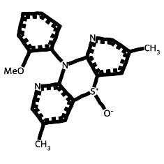 COc1ccccc1N1c2ncc(C)cc2[S+]([O-])c2cc(C)cnc21